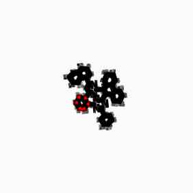 c1ccc(-c2cc(-c3cccc4ccccc34)nc(-c3c(-c4nc(-c5ccccc5)nc(-c5ccccc5)n4)c4ccccc4c4ccccc34)n2)cc1